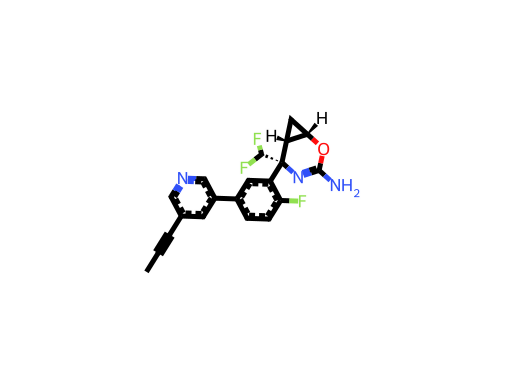 CC#Cc1cncc(-c2ccc(F)c([C@]3(C(F)F)N=C(N)O[C@H]4C[C@H]43)c2)c1